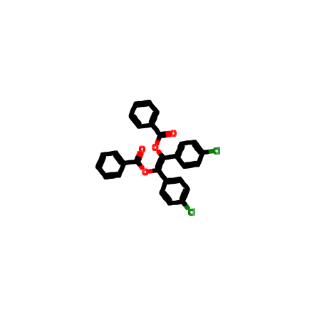 O=C(OC(=C(OC(=O)c1ccccc1)c1ccc(Cl)cc1)c1ccc(Cl)cc1)c1ccccc1